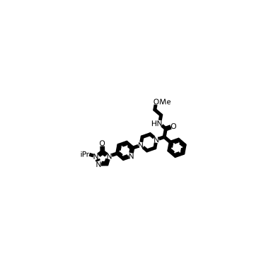 COCCNC(=O)C(c1ccccc1)N1CCN(c2ccc(-n3cnn(C(C)C)c3=O)cn2)CC1